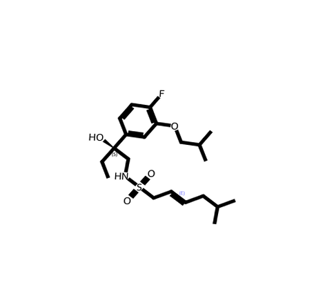 CC[C@@](O)(CNS(=O)(=O)C/C=C/CC(C)C)c1ccc(F)c(OCC(C)C)c1